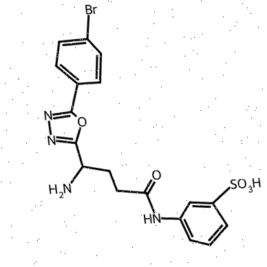 NC(CCC(=O)Nc1cccc(S(=O)(=O)O)c1)c1nnc(-c2ccc(Br)cc2)o1